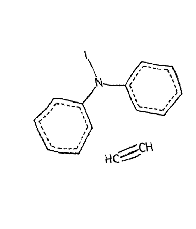 C#C.IN(c1ccccc1)c1ccccc1